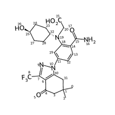 CC1(C)CC(=O)c2c(C(F)(F)F)nn(-c3ccc(C(N)=O)c(N(CC(=O)O)[C@H]4CC[C@H](O)CC4)c3)c2C1